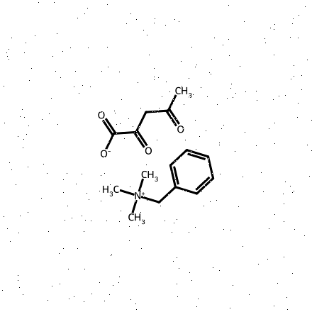 CC(=O)CC(=O)C(=O)[O-].C[N+](C)(C)Cc1ccccc1